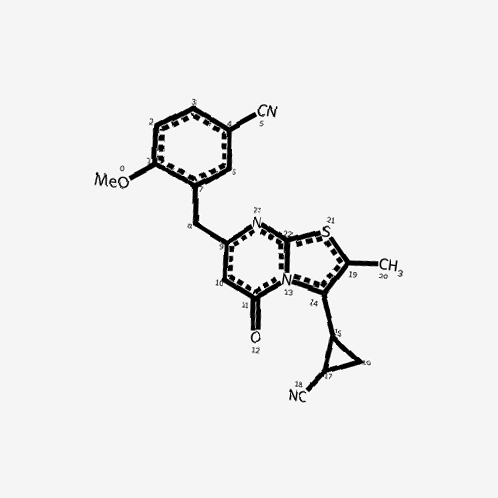 COc1ccc(C#N)cc1Cc1cc(=O)n2c(C3CC3C#N)c(C)sc2n1